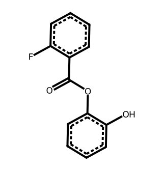 O=C(Oc1ccccc1O)c1ccccc1F